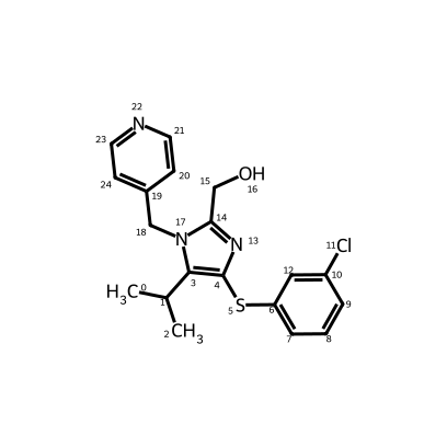 CC(C)c1c(Sc2cccc(Cl)c2)nc(CO)n1Cc1ccncc1